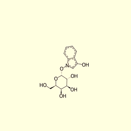 OC[C@H]1O[C@H](On2cc(O)c3ccccc32)[C@H](O)[C@@H](O)[C@H]1O